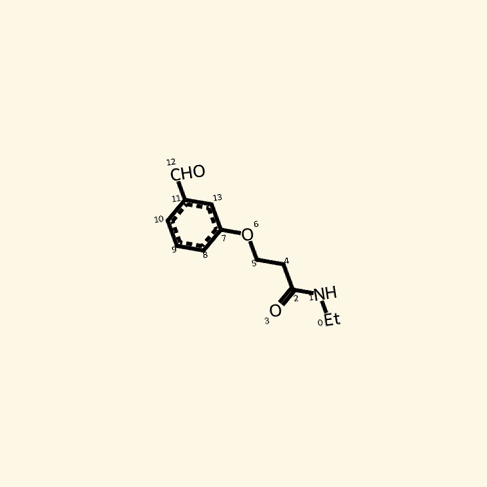 CCNC(=O)CCOc1cccc(C=O)c1